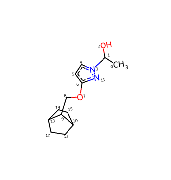 CC(O)n1ccc(OCC2C3CCC2CC3)n1